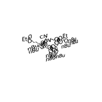 [C-]#[N+]CCOP(=O)(OCC(COCC(CCCC)(CCCC)CCCC)OP(=O)(OCC[N+]#[C-])OCC(COCC(CCCC)(CCCC)CCCC)OP(=O)(OCCCCCCOC(=O)CC)OCC[N+]#[C-])OC(CC)COCC(CCCC)(CCCC)CCCC